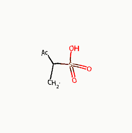 [CH2]C(C(C)=O)S(=O)(=O)O